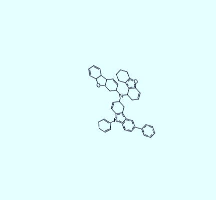 C1=CC2OC3CC(N(C4C=Cc5c(c6cc(-c7ccccc7)ccc6n5C5=CCCC=C5)C4)C4CC=Cc5oc6c(c54)CCCC6)C=CC3C2C=C1